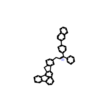 C(/Cc1ccc2c(c1)-c1cc3cccc4c3c(c1C2)-c1ccccc1-4)=C(\c1ccccc1)c1ccc(-c2ccc3ccccc3c2)cc1